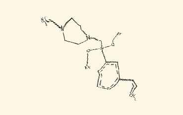 C=Cc1cccc([Si](CN2CCN(C)CC2)(OCC)OCC)c1